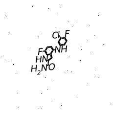 NC(=O)c1cc2c(Nc3ccc(F)c(Cl)c3)ccc(F)c2[nH]1